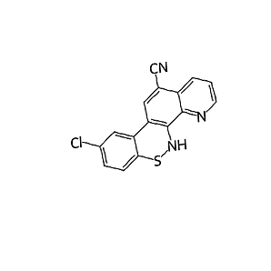 N#Cc1cc2c(c3ncccc13)NSc1ccc(Cl)cc1-2